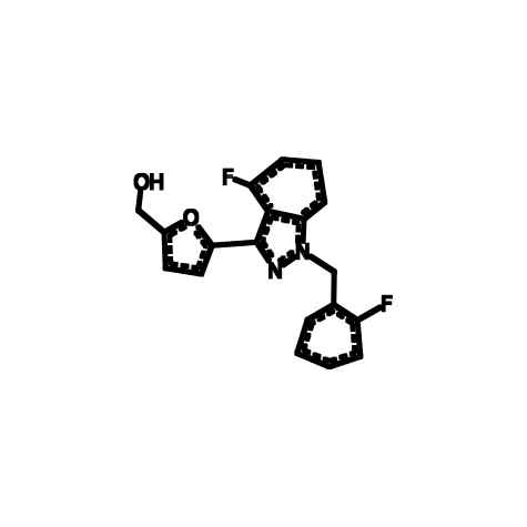 OCc1ccc(-c2nn(Cc3ccccc3F)c3cccc(F)c23)o1